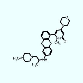 CN/C(=C\C(=C/C=O)N1CCOCC1)c1cccc2c1Sc1ccc(NC(C)CN3CCN(C)CC3)cc1S2